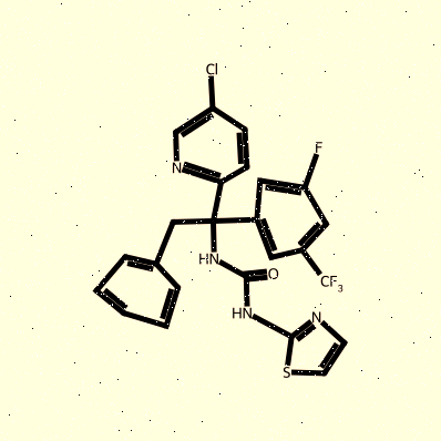 O=C(Nc1nccs1)NC(Cc1ccccc1)(c1cc(F)cc(C(F)(F)F)c1)c1ccc(Cl)cn1